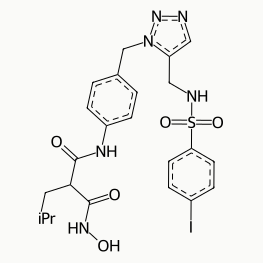 CC(C)CC(C(=O)NO)C(=O)Nc1ccc(Cn2nncc2CNS(=O)(=O)c2ccc(I)cc2)cc1